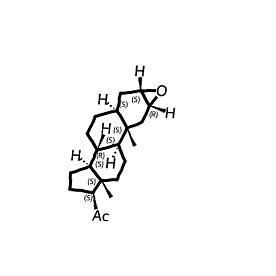 CC(=O)[C@H]1CC[C@H]2[C@@H]3CC[C@H]4C[C@@H]5O[C@@H]5C[C@]4(C)[C@H]3CC[C@]12C